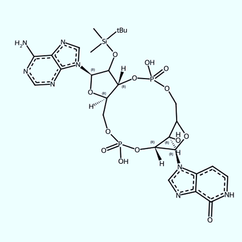 CC(C)(C)[Si](C)(C)OC1[C@H](n2cnc3c(N)ncnc32)O[C@@H]2COP(=O)(O)O[C@@H]3[C@H](O)C(COP(=O)(O)O[C@@H]12)O[C@H]3n1cnc2c(=O)[nH]ccc21